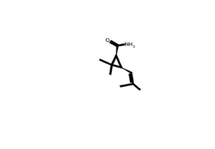 CC(C)=C[C@@H]1[C@H](C(N)=O)C1(C)C